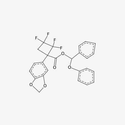 O=C(OC(Oc1ccccc1)c1ccccc1)C1(c2ccc3c(c2)OCO3)CC(F)(F)C1(F)F